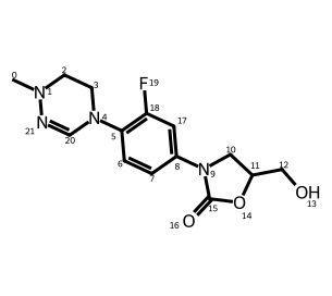 CN1CCN(c2ccc(N3CC(CO)OC3=O)cc2F)C=N1